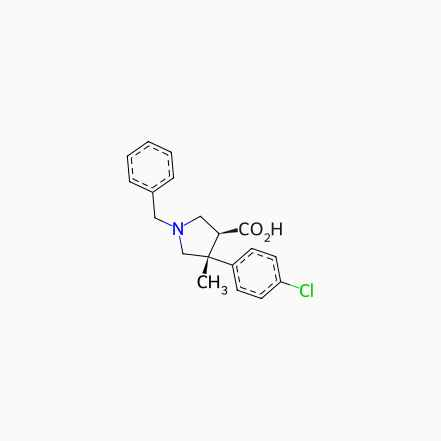 C[C@@]1(c2ccc(Cl)cc2)CN(Cc2ccccc2)C[C@H]1C(=O)O